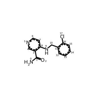 NC(=O)c1cnccc1NCc1ccccc1Cl